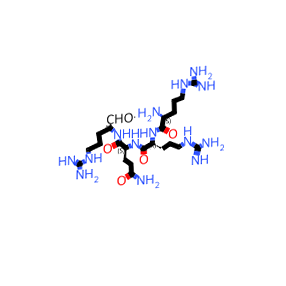 N=C(N)NCCC[C@H]([C]=O)NC(=O)[C@H](CCC(N)=O)NC(=O)[C@@H](CCCNC(=N)N)NC(=O)[C@@H](N)CCCNC(=N)N